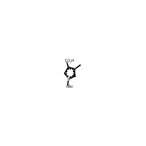 CCCCn1cc(C)c(C(=O)O)c1